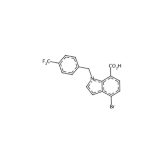 O=C(O)c1ccc(Br)c2ccn(Cc3ccc(C(F)(F)F)cc3)c12